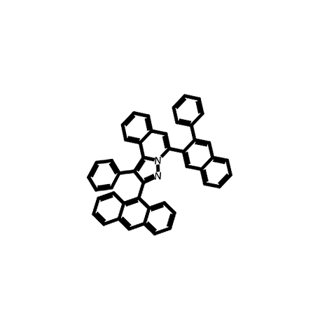 c1ccc(-c2cc3ccccc3cc2-c2cc3ccccc3c3c(-c4ccccc4)c(-c4c5ccccc5cc5ccccc45)nn23)cc1